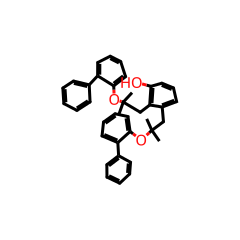 CC(C)(Cc1cccc(O)c1CC(C)(C)Oc1ccccc1-c1ccccc1)Oc1ccccc1-c1ccccc1